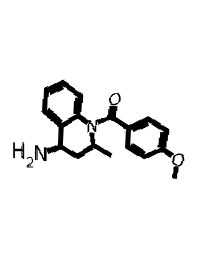 COc1ccc(C(=O)N2c3ccccc3C(N)CC2C)cc1